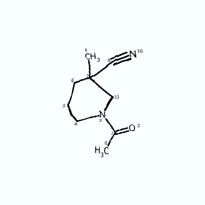 CC(=O)N1CCCC(C)(C#N)C1